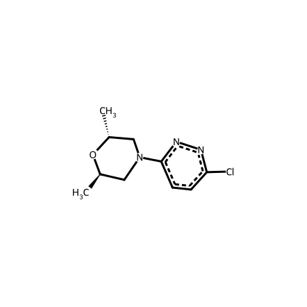 C[C@@H]1CN(c2ccc(Cl)nn2)C[C@@H](C)O1